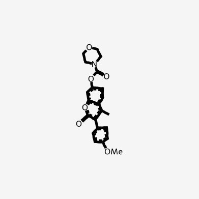 COc1ccc(-c2c(C)c3ccc(OC(=O)N4CCOCC4)cc3oc2=O)cc1